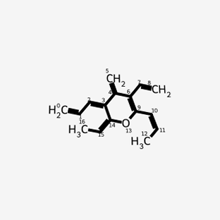 C=C/C=C1/C(=C)C(C=C)=C(/C=C\C)O/C1=C/C